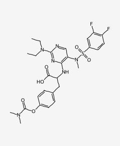 CCN(CC)c1ncc(N(C)S(=O)(=O)c2ccc(F)c(F)c2)c(NC(Cc2ccc(OC(=O)N(C)C)cc2)C(=O)O)n1